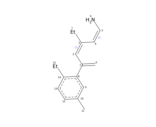 C=C(/C=C(\C=C/N)CC)c1cc(C)ccc1CC